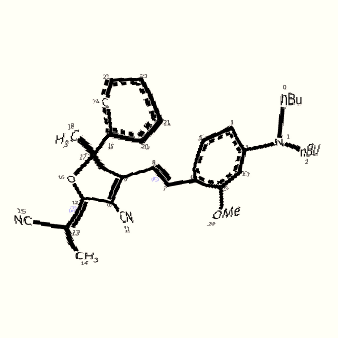 CCCCN(CCCC)c1ccc(/C=C/C2=C(C#N)C(=C(\C)C#N)/OC2(C)c2ccccc2)c(OC)c1